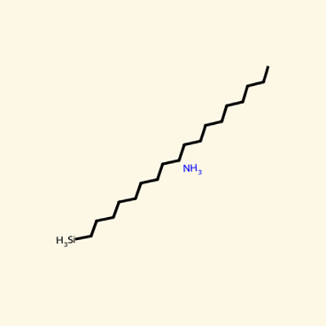 CCCCCCCCCCCCCCCCCC[SiH3].N